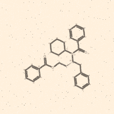 O=C(OCC[C@@H](Cc1ccccc1)N(C(=O)c1ccccc1)C1CCCCC1)c1ccccc1